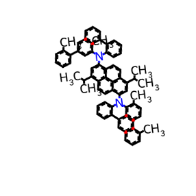 Cc1ccccc1-c1ccc(C)c(N(c2ccccc2-c2ccccc2)c2cc(C(C)C)c3ccc4c(N(c5cc(-c6ccccc6C)ccc5C)c5ccccc5-c5ccccc5)cc(C(C)C)c5ccc2c3c54)c1